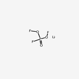 O=P(F)(OF)OF.[Li]